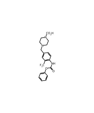 O=C(Nc1ccc(CN2CCN(C(=O)O)CC2)cc1C(F)(F)F)Oc1ccccc1